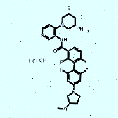 COC1CCN(c2cc(F)c(-c3c(F)ccc(C(=O)Nc4cnccc4N4C[C@H](C)C[C@H](N)C4)c3F)c(F)c2)C1.Cl.Cl